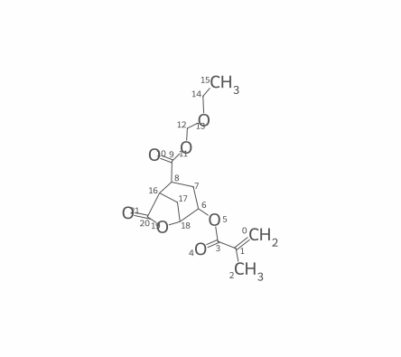 C=C(C)C(=O)OC1CC(C(=O)OCOCC)C2CC1OC2=O